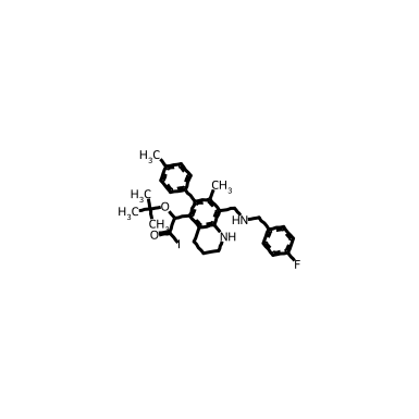 Cc1ccc(-c2c(C)c(CNCc3ccc(F)cc3)c3c(c2C(OC(C)(C)C)C(=O)I)CCCN3)cc1